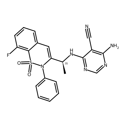 C[C@H](Nc1ncnc(N)c1C#N)C1=Cc2cccc(F)c2S(=O)(=O)N1c1ccccc1